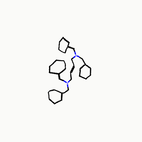 C(=CCN(CC1CCCCC1)CC1CCCCC1)CN(CC1CCCCC1)CC1CCCCC1